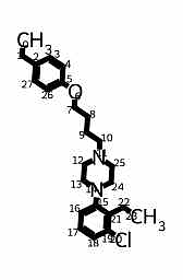 CCc1ccc(OCCCCN2CCN(c3cccc(Cl)c3CC)CC2)cc1